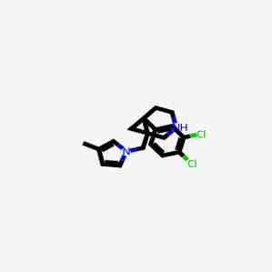 Cc1ccn(CC23CNCCC2(c2ccc(Cl)c(Cl)c2)C3)c1